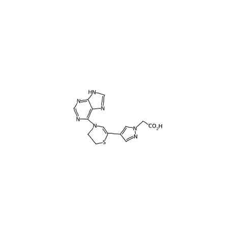 O=C(O)Cn1cc(C2=CN(c3ncnc4[nH]cnc34)CCS2)cn1